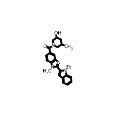 CCn1c(-c2nc3cc(C(=O)N4CC(C)CC(O)C4)ccc3n2C)cc2ccccc21